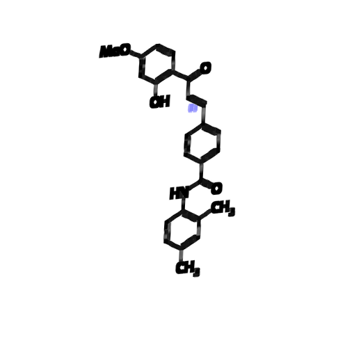 COc1ccc(C(=O)/C=C/c2ccc(C(=O)Nc3ccc(C)cc3C)cc2)c(O)c1